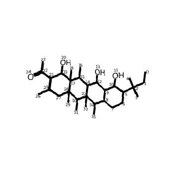 CCC(C)(C)C1CCC2C(C1O)C(O)C1C(C)C3(C)C(O)C(C(C)=O)C(C)CC3(C)C(C)C1(C)C2C